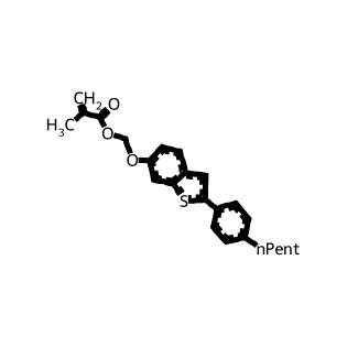 C=C(C)C(=O)OCOc1ccc2cc(-c3ccc(CCCCC)cc3)sc2c1